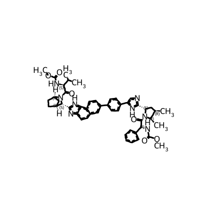 COC(=O)N[C@H](C(=O)N1[C@@H]2CC[C@@H](C2)[C@H]1c1nc2ccc3cc(-c4ccc(-c5cnc([C@@H]6C[C@@H](C)[C@@H](C)N6C(=O)[C@H](NC(=O)OC)c6ccccc6)[nH]5)cc4)ccc3c2[nH]1)C(C)C